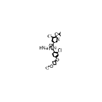 CC(C)Oc1ncc(-c2nc(-c3ccc(OC4CC(OC=O)C4)cc3Cl)no2)cc1Cl.[NaH]